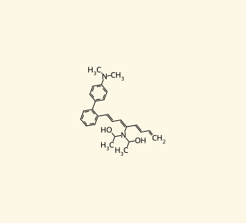 C=C/C=C/C(=C/C=C/c1ccccc1-c1ccc(N(C)C)cc1)N(C(C)O)C(C)O